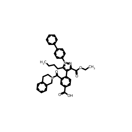 CCCCc1c(-c2ccc(C(=O)O)cc2C(=O)N2CCc3ccccc3C2)c(C(=O)OCC)nn1-c1ccc(-c2ccccc2)cc1